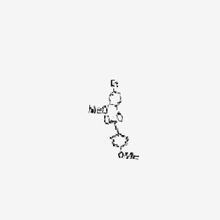 CCc1ccc(OC(=O)c2ccc(OC)cc2)c(OC)c1